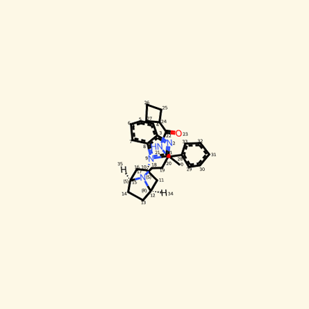 Cc1nc2ccccc2n1[C@@H]1C[C@H]2CC[C@@H](C1)N2CCC(NC(=O)C1CCC1)c1ccccc1